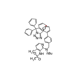 CCCCN(Cc1ccc(-c2ccccc2-c2nnnn2C(c2ccccc2)(c2ccccc2)c2ccccc2)cc1)c1nccc(C)c1NS(C)(=O)=O